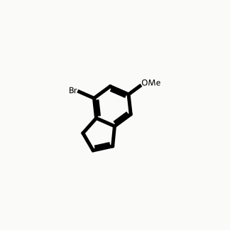 COc1cc(Br)c2c(c1)C=CC2